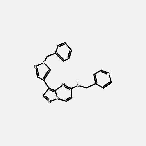 c1ccc(Cn2cc(-c3cnn4ccc(NCc5ccncc5)nc34)cn2)cc1